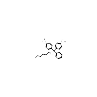 [CH2]CCCCCOC(c1ccccc1)(c1ccc(OC)cc1)c1ccc(OC)cc1